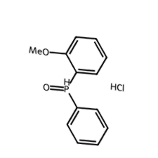 COc1ccccc1[PH](=O)c1ccccc1.Cl